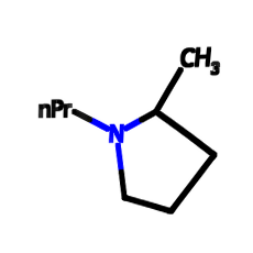 [CH2]CCN1CCCC1C